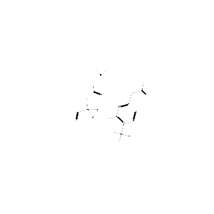 CC(C)(C)OC(=O)NC1(C(=O)O)CC1.O=C(O)Cc1ccc(C(F)(F)F)c(F)c1F